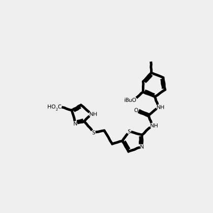 Cc1ccc(NC(=O)Nc2ncc(CCSc3nc(C(=O)O)c[nH]3)s2)c(OCC(C)C)c1